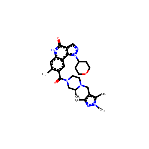 Cc1cc2[nH]c(=O)c3cnn(C4CCOCC4)c3c2cc1C(=O)N1CCN(Cc2c(C)nn(C)c2C)[C@@H](C)C1